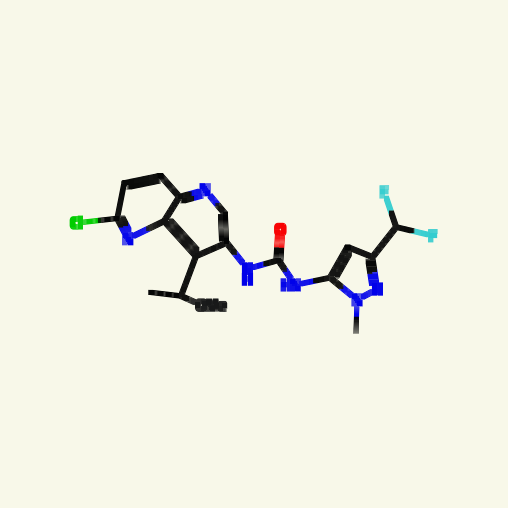 COC(C)c1c(NC(=O)Nc2cc(C(F)F)nn2C)cnc2ccc(Cl)nc12